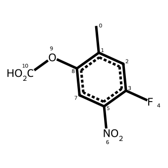 Cc1cc(F)c([N+](=O)[O-])cc1OC(=O)O